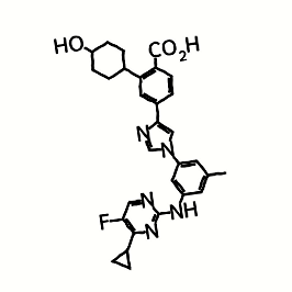 Cc1cc(Nc2ncc(F)c(C3CC3)n2)cc(-n2cnc(-c3ccc(C(=O)O)c(C4CCC(O)CC4)c3)c2)c1